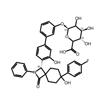 O=C(O)C1O[C@@H](Oc2cccc(-c3ccc([C@H]4N(c5ccccc5)C(=O)C45CCC(O)(c4ccc(F)cc4)CC5)c(O)c3)c2)C(O)[C@@H](O)[C@@H]1O